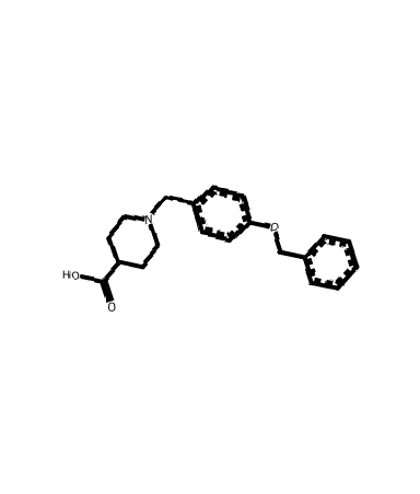 O=C(O)C1CCN(Cc2ccc(OCc3ccccc3)cc2)CC1